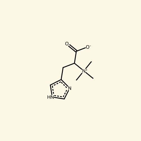 C[N+](C)(C)C(Cc1c[nH]cn1)C(=O)[O-]